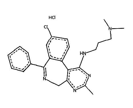 Cc1nc2c(c(NCCCN(C)C)n1)-c1ccc(Cl)cc1C(c1ccccc1)=NC2.Cl